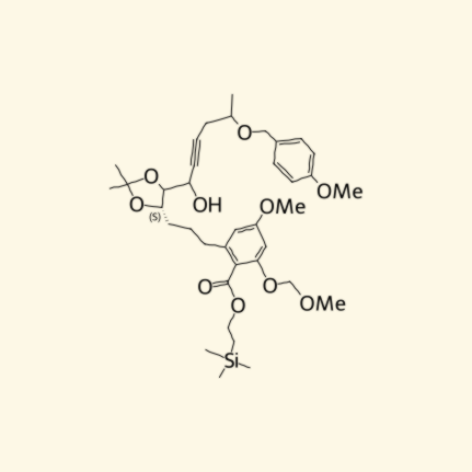 COCOc1cc(OC)cc(CCC[C@@H]2OC(C)(C)OC2C(O)C#CCC(C)OCc2ccc(OC)cc2)c1C(=O)OCC[Si](C)(C)C